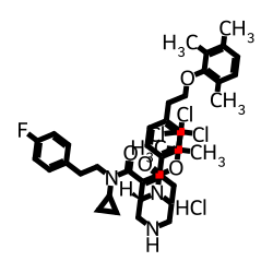 Cc1ccc(C)c(OCCc2ccc(C3=C(C(=O)N(CCc4ccc(F)cc4)C4CC4)[C@H]4CNCC(C3)N4C(=O)OC(C)(C)C(Cl)(Cl)Cl)cc2)c1C.Cl